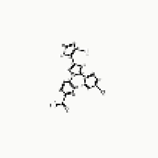 O=C(O)c1ccc(-n2nc(-c3sccc3Cl)cc2-c2ccc(Cl)cc2)cc1